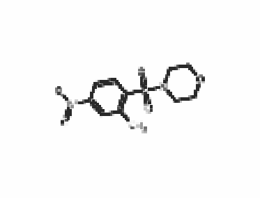 Cc1cc([N+](=O)[O-])ccc1S(=O)(=O)N1CCOCC1